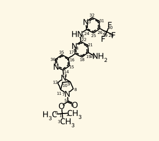 CC(C)(C)OC(=O)N1CC2CC1CN2c1cc(-c2cc(N)cc(Nc3cc(C(F)(F)F)ccn3)n2)ccn1